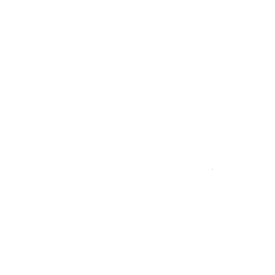 Cc1ccc(C2CC2C)c(C)c1